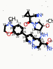 CO[C@H]1CN(C(=O)C2(C#N)CC2)C[C@H]1Nc1c(C(N)=O)cnn2cc(-c3ccc4c(c3)OCCN4C)cc12